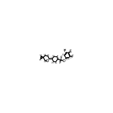 Fc1cc(OC(F)(F)C2CCC(C3CCC4(C=C4)CO3)CC2)cc(F)c1F